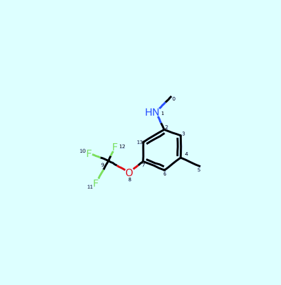 CNc1cc(C)cc(OC(F)(F)F)c1